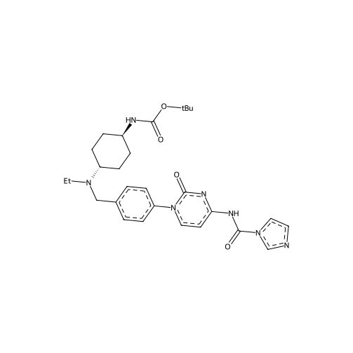 CCN(Cc1ccc(-n2ccc(NC(=O)n3ccnc3)nc2=O)cc1)[C@H]1CC[C@H](NC(=O)OC(C)(C)C)CC1